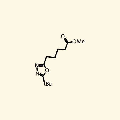 COC(=O)CCCCc1nnc(C(C)(C)C)o1